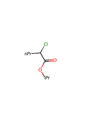 CCCC(Cl)C(=O)OC(C)C